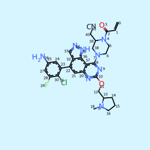 C=CC(=O)N1CCN(c2nc(OCC3CCCN3C)nc3cc(-c4cc(N)cc(F)c4Cl)c4cn[nH]c4c23)CC1CC#N